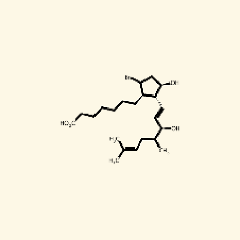 CC(C)=CCC(C)[C@H](O)/C=C/[C@H]1[C@H](O)CC(Br)[C@@H]1CCCCCCC(=O)O